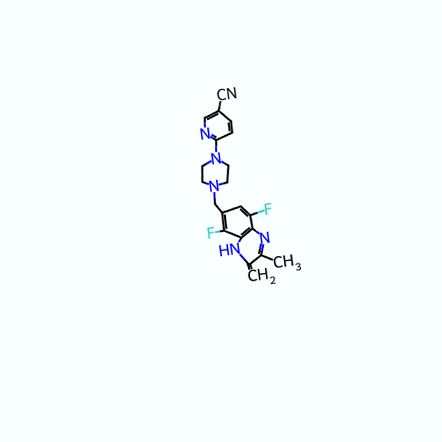 C=C1Nc2c(F)c(CN3CCN(c4ccc(C#N)cn4)CC3)cc(F)c2N=C1C